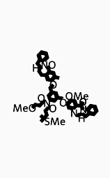 COCCC(=O)N(C(=O)CCC(C)(C)SC)c1cc(COc2cc3c(cc2C)C(=O)N2c4ccccc4C[C@H]2CC3)cc(COc2cc3c(cc2OC)C(=O)N2c4ccccc4C[C@H]2C=N3)c1